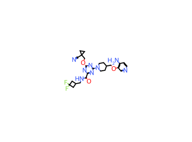 N#CC1(COc2nc(C(=O)NCC3CC(F)(F)C3)nc(N3CCC(COc4cnccc4N)CC3)n2)CC1